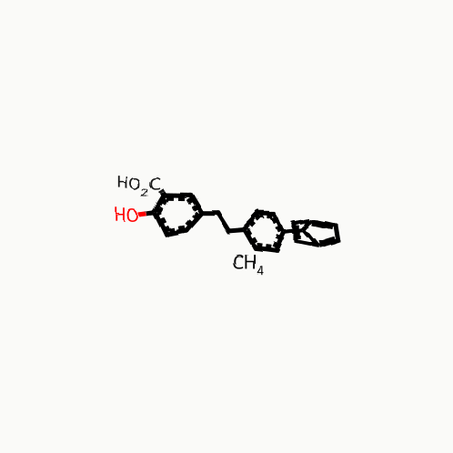 C.O=C(O)c1cc(CCc2ccc(C3C4=CC=C3C=C4)cc2)ccc1O